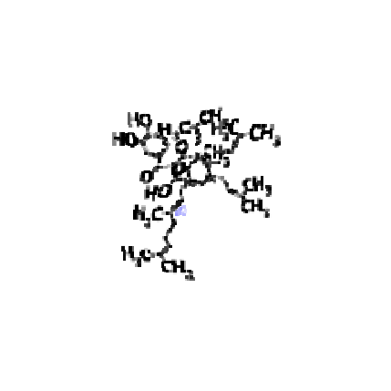 CC(C)=CCC/C(C)=C/C[C@]12C[C@@H](CC=C(C)C)[C@](C)(CCC=C(C)C)[C@](CC=C(C)C)(C(=O)C(C(=O)c3ccc(O)c(O)c3)=C1O)C2=O